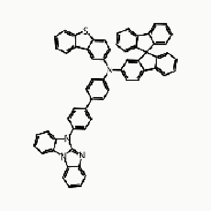 c1ccc2c(c1)-c1ccccc1C21c2ccccc2-c2ccc(N(c3ccc(-c4ccc(-n5c6ccccc6n6c7ccccc7nc56)cc4)cc3)c3ccc4sc5ccccc5c4c3)cc21